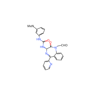 CNc1cccc(NC(=O)N[C@@H]2N=C(c3ccccn3)c3ccccc3N(CC=O)C2=O)c1